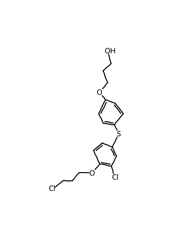 OCCCOc1ccc(Sc2ccc(OCCCCl)c(Cl)c2)cc1